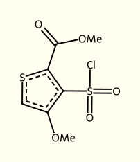 COC(=O)c1scc(OC)c1S(=O)(=O)Cl